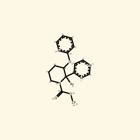 CC(=O)C1(c2ccncn2)C(Oc2ccccn2)CCCN1C(=O)OC(F)(F)F